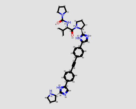 CC(C)[C@@H](NC(=O)N1CCCC1)C(=O)N1CCC[C@H]1c1ncc(-c2ccc(C#Cc3ccc(-c4cnc([C@@H]5CCCN5)[nH]4)cc3)cc2)[nH]1